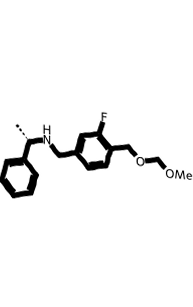 COCOCc1ccc(CN[C@@H](C)c2ccccc2)cc1F